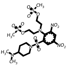 CN(C)C1CCN(S(=O)(=O)c2cc([N+](=O)[O-])cc([N+](=O)[O-])c2N(CCOS(C)(=O)=O)CCOS(C)(=O)=O)CC1